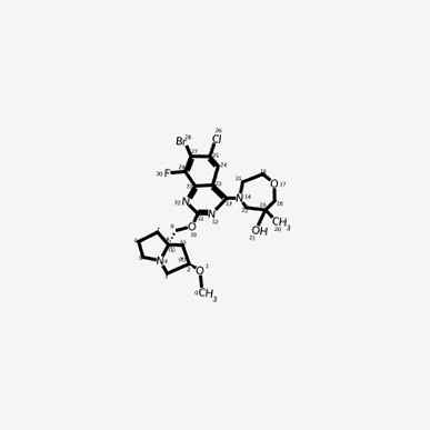 CO[C@H]1CN2CCC[C@@]2(COc2nc(N3CCOCC(C)(O)C3)c3cc(Cl)c(Br)c(F)c3n2)C1